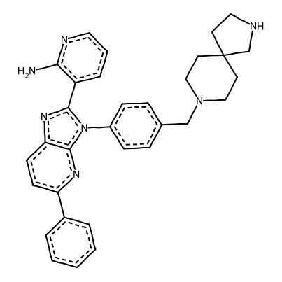 Nc1ncccc1-c1nc2ccc(-c3ccccc3)nc2n1-c1ccc(CN2CCC3(CCNC3)CC2)cc1